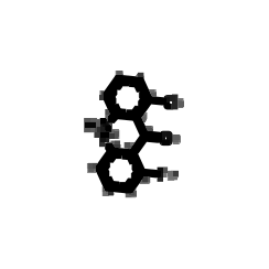 Nc1cccc(Cl)c1C(=O)c1c(F)cccc1F